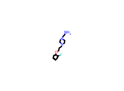 NCCN1CCN(CCCOc2ccccc2F)CC1